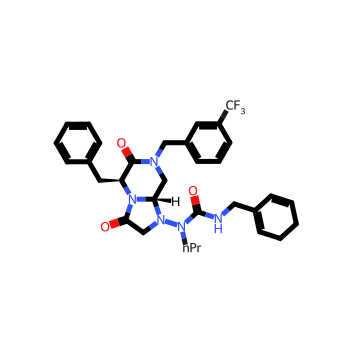 CCCN(C(=O)NCC1=CCCC=C1)N1CC(=O)N2[C@@H](Cc3ccccc3)C(=O)N(Cc3cccc(C(F)(F)F)c3)C[C@@H]21